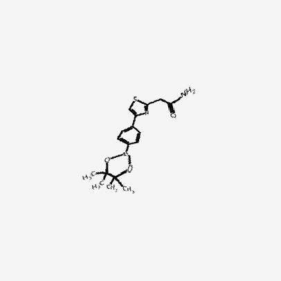 CC1(C)OB(c2ccc(-c3csc(CC(N)=O)n3)cc2)OC1(C)C